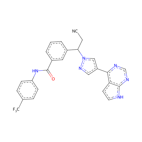 N#CCC(c1cccc(C(=O)Nc2ccc(C(F)(F)F)cc2)c1)n1cc(-c2ncnc3[nH]ccc23)cn1